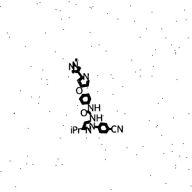 CC(C)c1cc(NC(=O)Nc2ccc(Oc3ccnc(-c4cnn(C)c4)c3)cc2)n(-c2ccc(C#N)cc2)n1